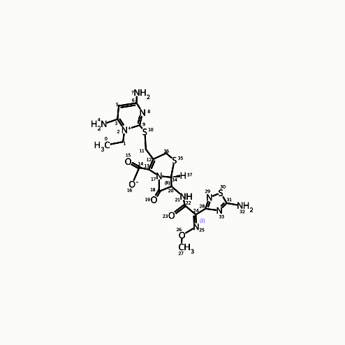 CC[n+]1c(N)cc(N)nc1SCC1=C(C(=O)[O-])N2C(=O)C(NC(=O)/C(=N\OC)c3nsc(N)n3)[C@H]2SC1